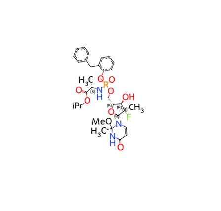 COC1(C)NC(=O)C=CN1[C@@H]1O[C@H](COP(=O)(N[C@@H](C)C(=O)OC(C)C)Oc2ccccc2Cc2ccccc2)[C@@H](O)[C@@]1(C)F